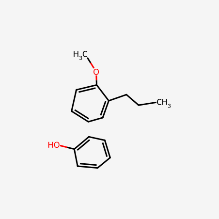 CCCc1ccccc1OC.Oc1ccccc1